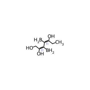 BC(=C(\O)CC)/C(B)=C(/O)CO